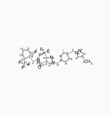 Cc1cnn(Cc2ccc(Cn3cc(C(=O)NCc4c(F)cccc4C(F)(F)F)c(C(F)(F)F)n3)cc2)c1